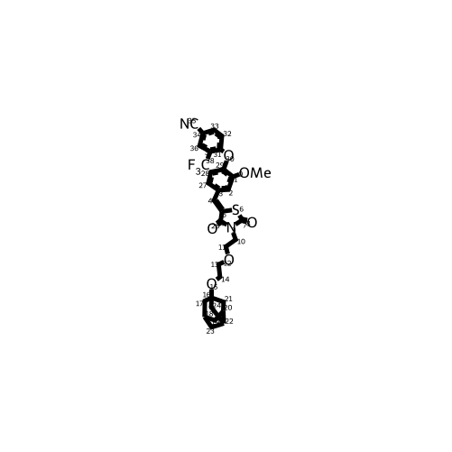 COc1cc(/C=C2\SC(=O)N(CCOCCOC34CC5CC(C3)C(C5)C4)C2=O)ccc1Oc1ccc(C#N)cc1C(F)(F)F